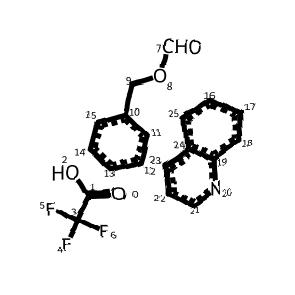 O=C(O)C(F)(F)F.O=COCc1ccccc1.c1ccc2ncccc2c1